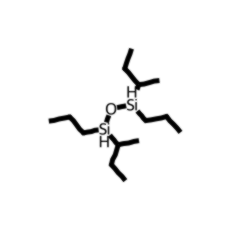 CCC[SiH](O[SiH](CCC)C(C)CC)C(C)CC